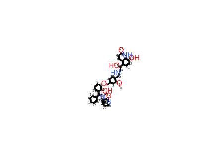 COc1cc(COc2cccc([C@H](c3ccccc3)N(C(=O)O)[C@H]3CN4CCC3CC4)c2)ccc1CNC[C@H](O)c1ccc(O)c2[nH]c(=O)ccc12